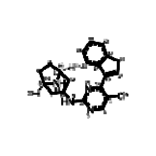 Clc1cnc(N[C@H]2C[C@H]3CC[C@@H](C2)N3)nc1C1=CCc2ccccc21